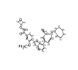 COc1cc(C(=O)NOC2COC2)ccc1-c1cc2nccc(-c3ccc(OC4CCCCCC4)c(C#N)c3)c2o1